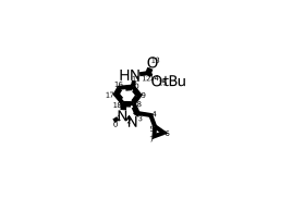 Cn1nc(CC2CC2)c2cc(NC(=O)OC(C)(C)C)ccc21